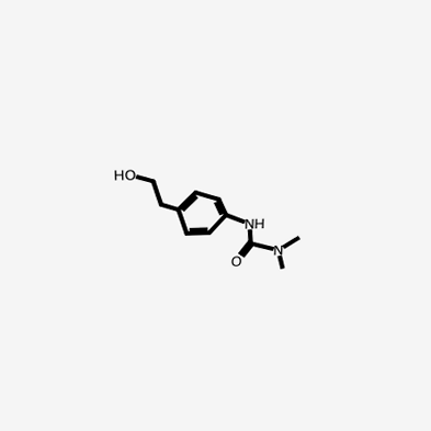 CN(C)C(=O)Nc1ccc(CCO)cc1